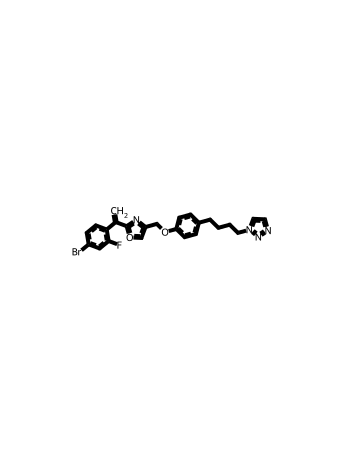 C=C(c1nc(COc2ccc(CCCCn3ccnn3)cc2)co1)c1ccc(Br)cc1F